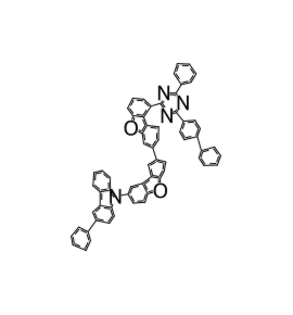 c1ccc(-c2ccc(-c3nc(-c4ccccc4)nc(-c4cccc5oc6cc(-c7ccc8oc9ccc(-n%10c%11ccccc%11c%11cc(-c%12ccccc%12)ccc%11%10)cc9c8c7)ccc6c45)n3)cc2)cc1